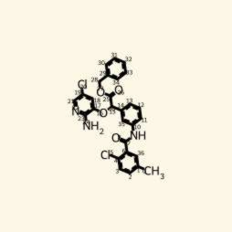 Cc1ccc(Cl)c(C(=O)Nc2cccc([C@@H](Oc3cc(Cl)cnc3N)C(=O)OCc3ccccc3)c2)c1